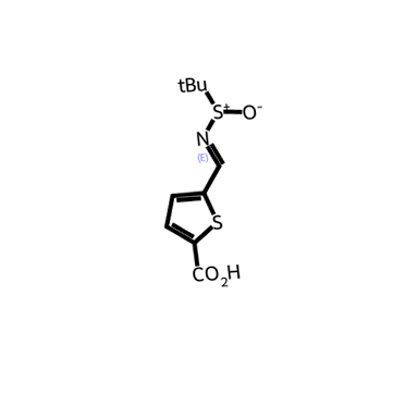 CC(C)(C)[S+]([O-])/N=C/c1ccc(C(=O)O)s1